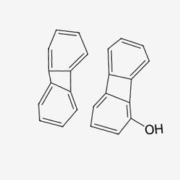 Oc1cccc2c1-c1ccccc1-2.c1ccc2c(c1)-c1ccccc1-2